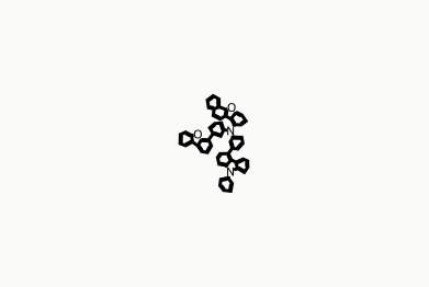 c1ccc(-n2c3ccccc3c3c(-c4cccc(N(c5cccc(-c6cccc7c6oc6ccccc67)c5)c5cccc6oc7c8ccccc8ccc7c56)c4)cccc32)cc1